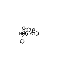 O=S(=O)(NCCc1ccccc1)c1cc(S(=O)(=O)c2ccccc2)ccc1Cl